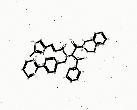 Cc1nc(C=CC(=O)N(Cc2ccc(-c3ncccn3)cc2)C(C(=O)N2CCc3ccccc3C2)C(I)c2ccccc2)cs1